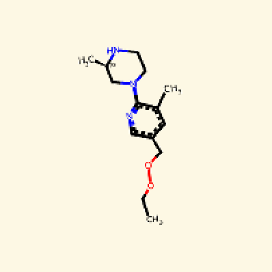 CCOOCc1cnc(N2CCN[C@H](C)C2)c(C)c1